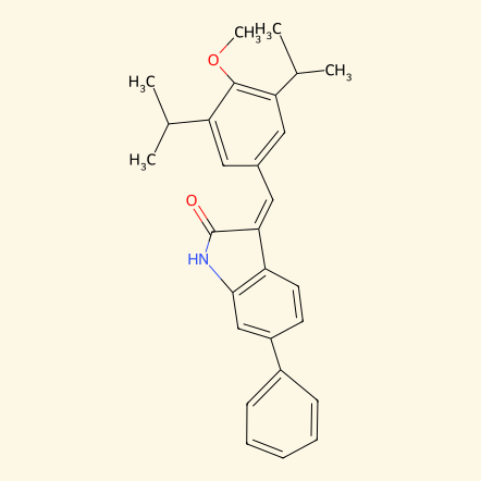 COc1c(C(C)C)cc(C=C2C(=O)Nc3cc(-c4ccccc4)ccc32)cc1C(C)C